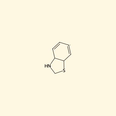 [C]1=CC2SCNC2C=C1